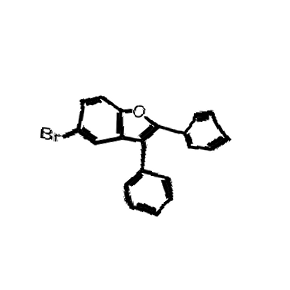 Brc1ccc2oc(-c3ccccc3)c(-c3ccccc3)c2c1